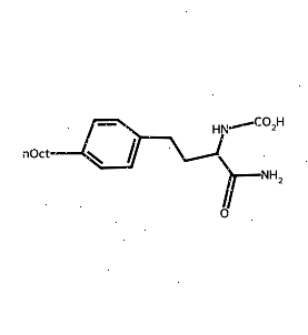 CCCCCCCCc1ccc(CCC(NC(=O)O)C(N)=O)cc1